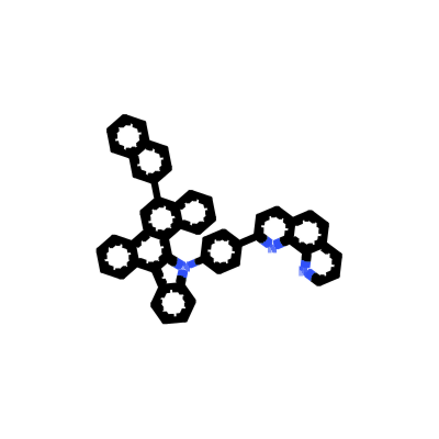 c1ccc2cc(-c3cc4c5ccccc5c5c6ccccc6n(-c6ccc(-c7ccc8ccc9cccnc9c8n7)cc6)c5c4c4ccccc34)ccc2c1